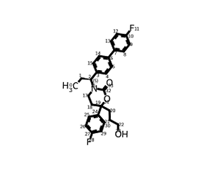 CC[C@@H](c1ccc(-c2ccc(F)cc2)cc1)N1CCC(CCCO)(c2ccc(F)cc2)OC1=O